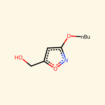 CCCCOc1cc(CO)on1